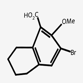 COc1c(Br)cc2c(c1C(=O)O)CCCC2